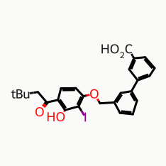 CC(C)(C)CC(=O)c1ccc(OCc2cccc(-c3cccc(C(=O)O)c3)c2)c(I)c1O